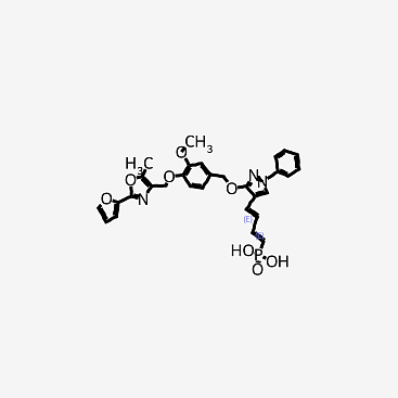 COc1cc(COc2nn(-c3ccccc3)cc2/C=C/C=C/P(=O)(O)O)ccc1OCc1nc(-c2ccco2)oc1C